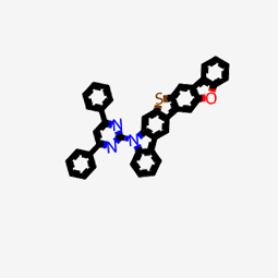 c1ccc(-c2cc(-c3ccccc3)nc(-n3c4ccccc4c4cc5c(cc43)sc3cc4c(cc35)oc3ccccc34)n2)cc1